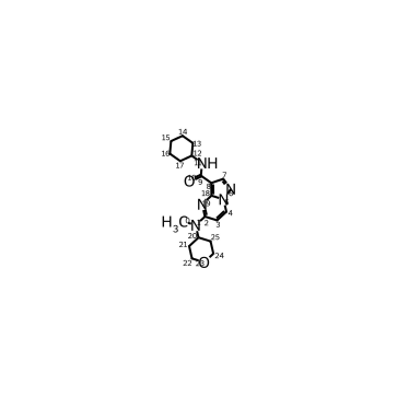 CN(c1ccn2ncc(C(=O)NC3CCCCC3)c2n1)C1CCOCC1